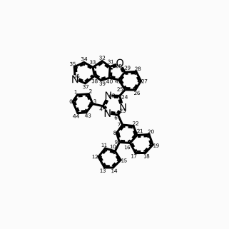 c1ccc(-c2nc(-c3cc(-c4ccccc4)c4ccccc4c3)nc(-c3cccc4oc5cc6ccncc6cc5c34)n2)cc1